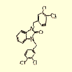 O=c1n(Cc2ccc(Cl)c(Cl)c2)c2ccccc2n1Cc1ccc(Cl)c(Cl)c1